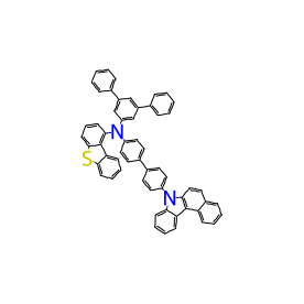 c1ccc(-c2cc(-c3ccccc3)cc(N(c3ccc(-c4ccc(-n5c6ccccc6c6c7ccccc7ccc65)cc4)cc3)c3cccc4sc5ccccc5c34)c2)cc1